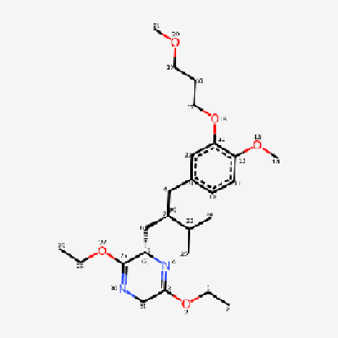 CCOC1=N[C@@H](C[C@@H](Cc2ccc(OC)c(OCCCOC)c2)C(C)C)C(OCC)=NC1